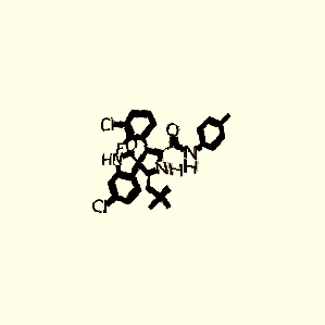 Cc1ccc(NC(=O)[C@@H]2N[C@@H](CC(C)(C)C)[C@@]3(C(=O)Nc4cc(Cl)ccc43)[C@H]2c2cccc(Cl)c2F)cc1